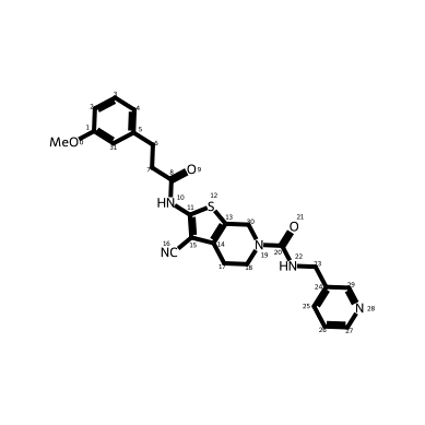 COc1cccc(CCC(=O)Nc2sc3c(c2C#N)CCN(C(=O)NCc2cccnc2)C3)c1